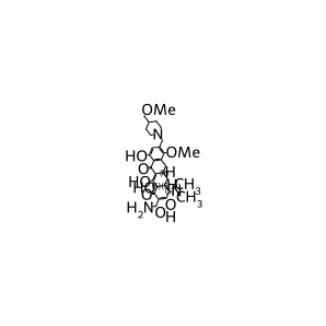 COCC1CCN(Cc2cc(O)c3c(c2OC)C[C@H]2C[C@H]4[C@H](N(C)C)C(O)=C(C(N)=O)C(=O)[C@@]4(O)C(O)=C2C3=O)CC1